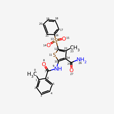 Cc1ccccc1C(=O)Nc1sc(S(=O)(=O)c2ccccc2)c(C)c1C(N)=O